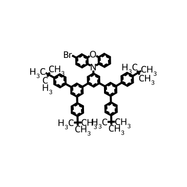 CC(C)(C)c1ccc(-c2cc(-c3ccc(C(C)(C)C)cc3)cc(-c3cc(-c4cc(-c5ccc(C(C)(C)C)cc5)cc(-c5ccc(C(C)(C)C)cc5)c4)cc(N4c5ccccc5Oc5cc(Br)ccc54)c3)c2)cc1